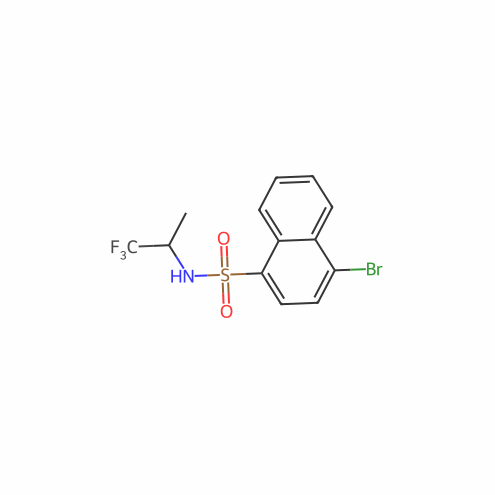 CC(NS(=O)(=O)c1ccc(Br)c2ccccc12)C(F)(F)F